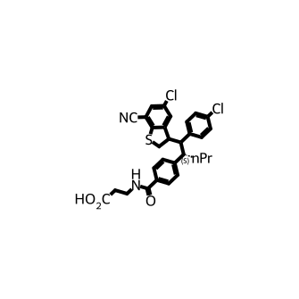 CCC[C@H](c1ccc(C(=O)NCCC(=O)O)cc1)C(c1ccc(Cl)cc1)C1CSc2c(C#N)cc(Cl)cc21